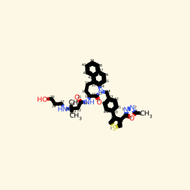 Cc1nnc(-c2cscc2-c2ccc(CN3C(=O)C(NC(=O)CC(C)(C)NCCCO)CCc4c3ccc3ccccc43)cc2)o1